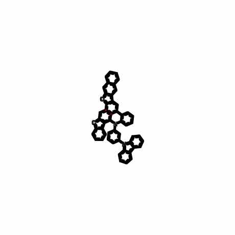 c1cc(N(c2ccccc2-c2ccc3oc4cc5ccccc5cc4c3c2)c2cccc3oc4ccccc4c23)cc(-n2c3ccccc3c3ccccc32)c1